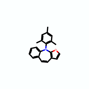 Cc1cc(C)c(N2c3ccccc3C=Cc3ccoc32)c(C)c1